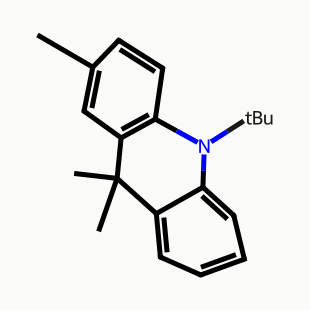 Cc1ccc2c(c1)C(C)(C)c1ccccc1N2C(C)(C)C